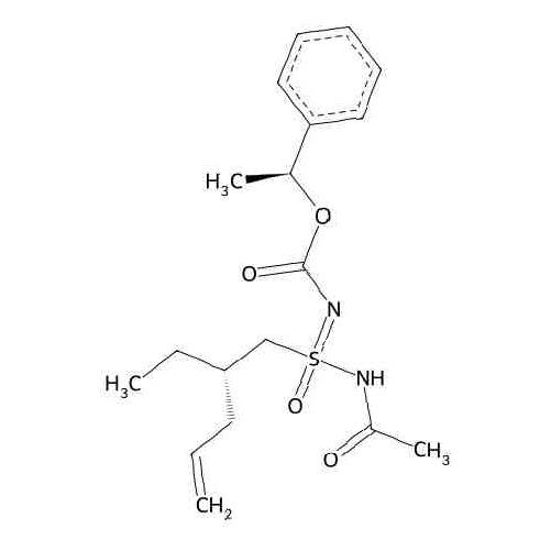 C=CC[C@H](CC)CS(=O)(=NC(=O)O[C@@H](C)c1ccccc1)NC(C)=O